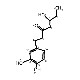 CCC(O)CC(=O)CCc1ccc(O)c(O)c1